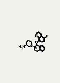 N[C@H]1CCCN([C@H]2CCc3ccccc3[C@@H]2Oc2ccc(F)c3cccnc23)C1